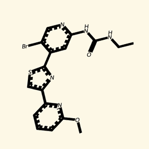 CCNC(=O)Nc1cc(-c2nc(-c3cccc(OC)n3)cs2)c(Br)cn1